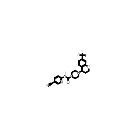 N#Cc1ccc(NC(=O)N2CCN(C3CCOc4cc(C(F)(F)F)ccc43)CC2)nc1